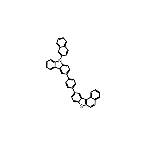 c1ccc2cc(-n3c4ccccc4c4cc(-c5ccc(-c6ccc7sc8ccc9ccccc9c8c7c6)cc5)ccc43)ccc2c1